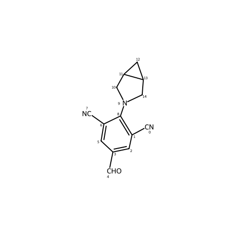 N#Cc1cc(C=O)cc(C#N)c1N1CC2CC2C1